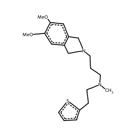 COc1cc2c(cc1OC)CN(CCCN(C)CCc1cccs1)C2